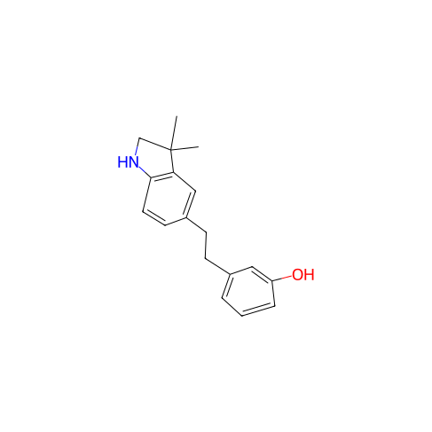 CC1(C)CNc2ccc(CCc3cccc(O)c3)cc21